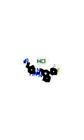 CN(C)CCc1ccc(Nc2ncc3c(n2)-c2ccccc2[C@H](c2ccc(F)c(F)c2)C3)cc1.Cl